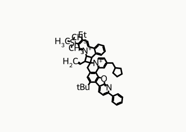 C=CC1C2C(c3ccccc3-c3cc(CC)c([Si](C)(C)C)c[n+]32)C12Cc1cc(C(C)(C)C)c3c(oc4nc(-c5ccccc5)ccc43)c1-c1cc(CC3CCCC3)cc[n+]12